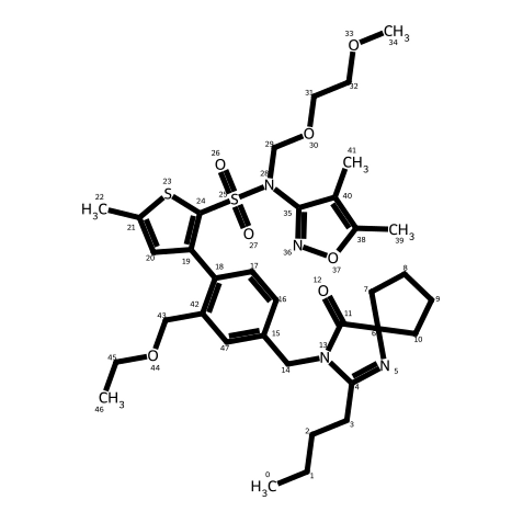 CCCCC1=NC2(CCCC2)C(=O)N1Cc1ccc(-c2cc(C)sc2S(=O)(=O)N(COCCOC)c2noc(C)c2C)c(COCC)c1